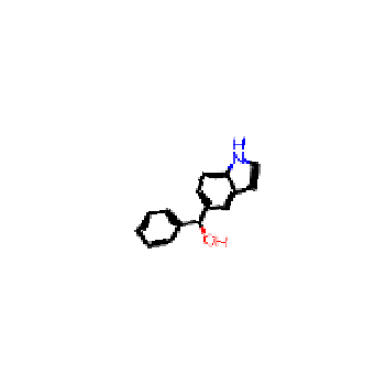 OC(c1ccccc1)c1ccc2[nH]ccc2c1